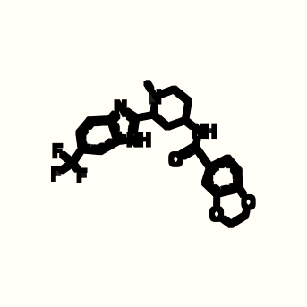 CN1CCC(NC(=O)c2ccc3c(c2)OCCO3)CC1c1nc2ccc(C(F)(F)F)cc2[nH]1